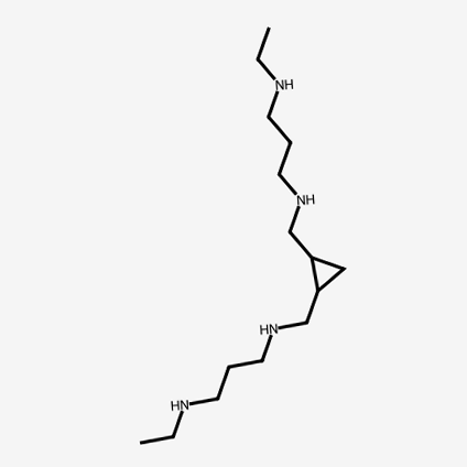 CCNCCCNCC1CC1CNCCCNCC